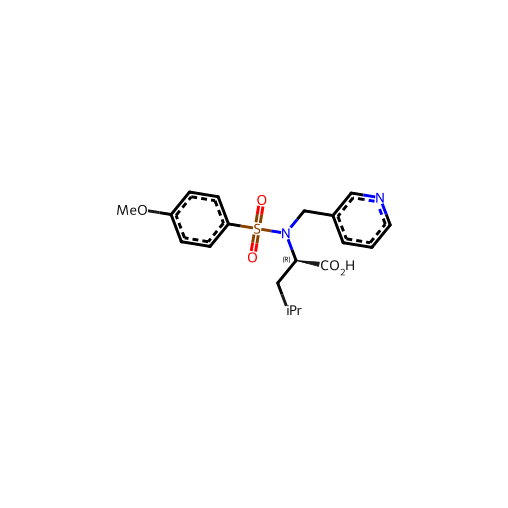 COc1ccc(S(=O)(=O)N(Cc2cccnc2)[C@H](CC(C)C)C(=O)O)cc1